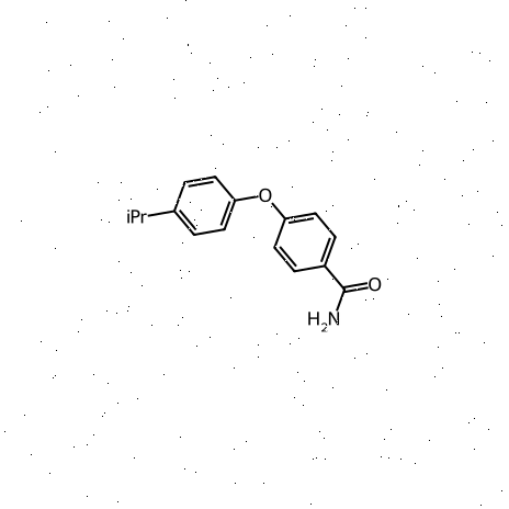 CC(C)c1ccc(Oc2ccc(C(N)=O)cc2)cc1